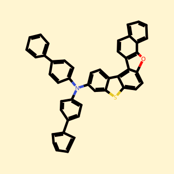 c1ccc(-c2ccc(N(c3ccc(-c4ccccc4)cc3)c3ccc4c(c3)sc3ccc5oc6c7ccccc7ccc6c5c34)cc2)cc1